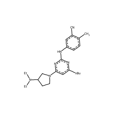 CCCCc1cc(N2CCC(N(CC)CC)C2)nc(Nc2ccc(C)c(C#N)c2)n1